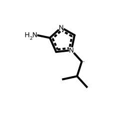 CC(C)[CH]n1cnc(N)c1